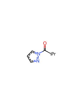 CC(C)C(=O)n1cccn1